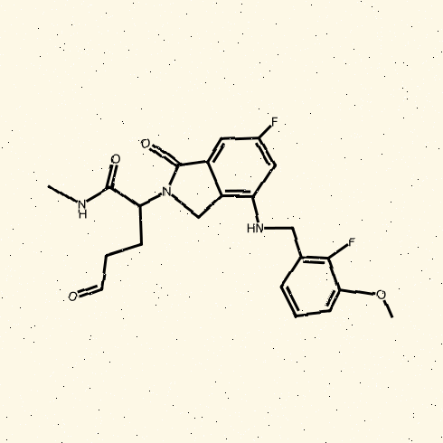 CNC(=O)C(CCC=O)N1Cc2c(NCc3cccc(OC)c3F)cc(F)cc2C1=O